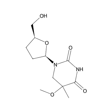 COC1(C)CN([C@H]2CC[C@@H](CO)O2)C(=O)NC1=O